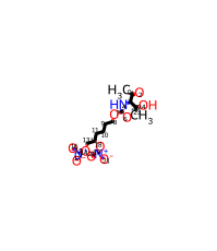 CC(=O)C(NC(=O)OCCCCC(CO[N+](=O)[O-])O[N+](=O)[O-])C(C)O